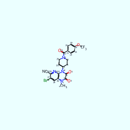 Cn1c(=O)c(=O)n(C2CCN(C(=O)c3ccc(OC(F)(F)F)cc3)CC2)c2nc(C#N)c(Br)cc21